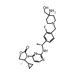 C[C@H](Nc1nccc(N2C(=O)OC[C@]2(C)C2CC2)n1)c1ccc(CN2CCC(N)(CO)CC2)c(F)c1